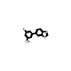 N#Cc1cc(F)cc(-c2ccc3ncsc3c2)c1